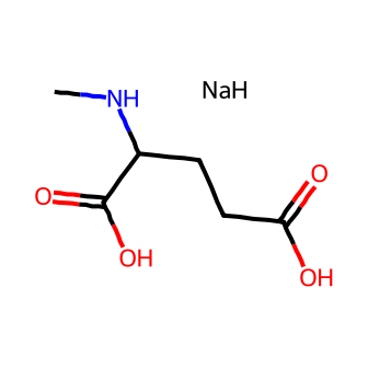 CNC(CCC(=O)O)C(=O)O.[NaH]